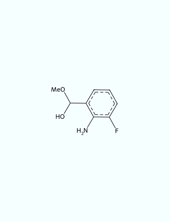 COC(O)c1cccc(F)c1N